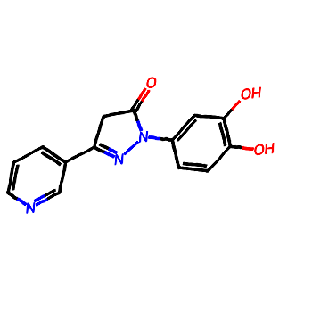 O=C1CC(c2cccnc2)=NN1c1ccc(O)c(O)c1